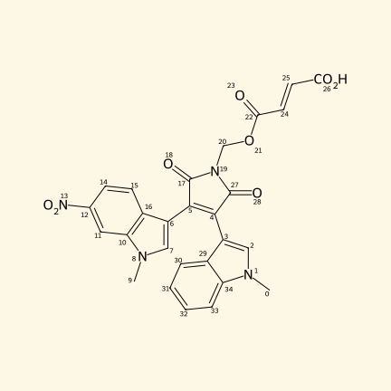 Cn1cc(C2=C(c3cn(C)c4cc([N+](=O)[O-])ccc34)C(=O)N(COC(=O)C=CC(=O)O)C2=O)c2ccccc21